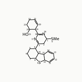 CSC1CC(C2CCCC3SC4C=CC=CC4C32)=NC(C2C=CCCC2O)=N1